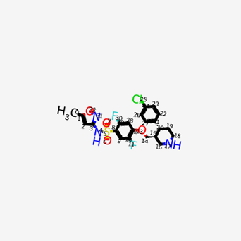 Cc1cc(NS(=O)(=O)c2cc(F)c(OC[C@@H]3CNCC[C@H]3c3ccc(Cl)cc3)cc2F)no1